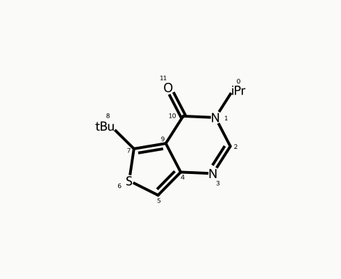 CC(C)n1cnc2csc(C(C)(C)C)c2c1=O